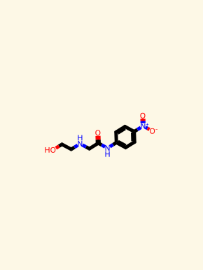 O=C(CNCCO)Nc1ccc([N+](=O)[O-])cc1